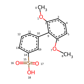 COc1cccc(OC)c1-c1cccc(S(=O)(=O)O)c1